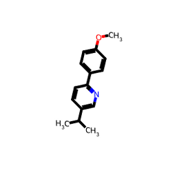 COc1ccc(-c2ccc(C(C)C)cn2)cc1